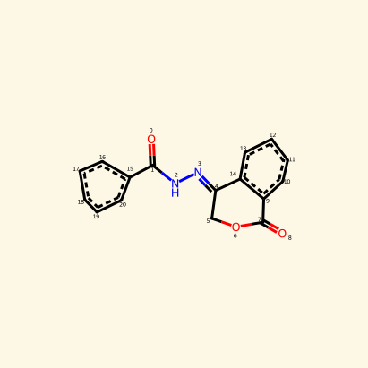 O=C(N/N=C1\COC(=O)c2ccccc21)c1ccccc1